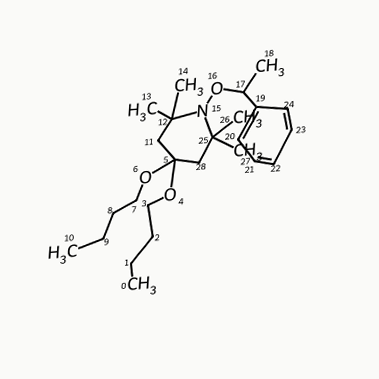 CCCCOC1(OCCCC)CC(C)(C)N(OC(C)c2ccccc2)C(C)(C)C1